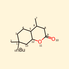 CCCCC1(C)CCC2C(C)CC(=O)OC2C1